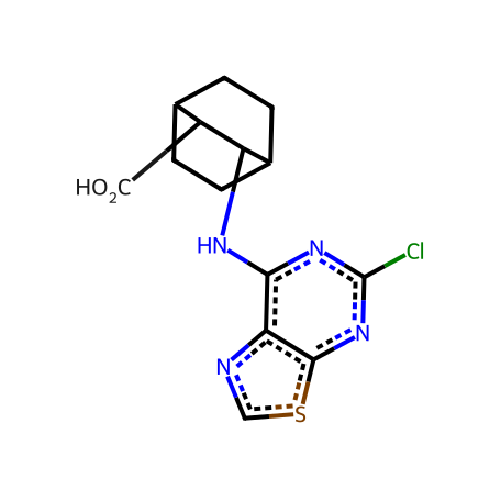 O=C(O)C1C2CCC(CC2)C1Nc1nc(Cl)nc2scnc12